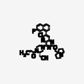 C=CC(=O)N1CCN(c2nc(OCC34CCCN3CCC4)nc3cc(-c4cccc5ccc(F)c(Cl)c45)cnc23)C[C@@H]1CC#N